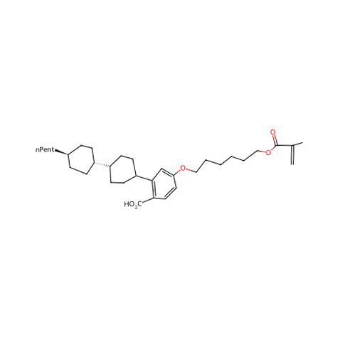 C=C(C)C(=O)OCCCCCCOc1ccc(C(=O)O)c(C2CCC([C@H]3CC[C@H](CCCCC)CC3)CC2)c1